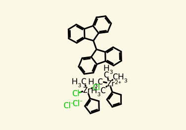 [CH3][Zr+2]([CH3])([CH3])([CH3])[C]1=CC=CC1.[CH3][Zr]([Cl])([Cl])[C]1=CC=CC1.[Cl-].[Cl-].c1ccc2c(c1)-c1ccccc1C2C1c2ccccc2-c2ccccc21